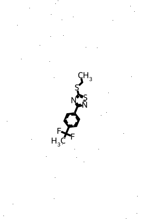 CCSc1nc(-c2ccc(C(C)(F)F)cc2)ns1